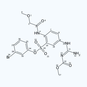 COCC(=O)Nc1ccc(NC(N)=NC(=O)OC)cc1S(=O)(=O)Oc1cccc(Br)c1